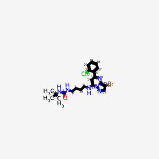 CC(C)(C)NC(=O)NCCCCNc1cc(-c2ccccc2Cl)nc2c(Br)cnn12